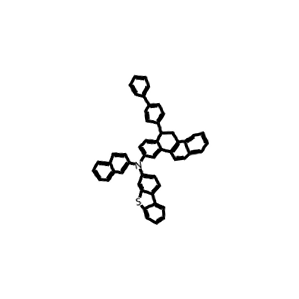 c1ccc(-c2ccc(C3Cc4c(ccc5ccccc45)-c4cc(N(c5ccc6ccccc6c5)c5ccc6c(c5)sc5ccccc56)ccc43)cc2)cc1